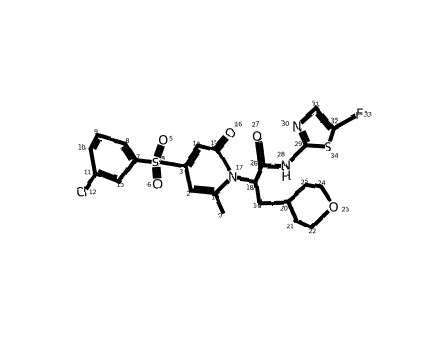 Cc1cc(S(=O)(=O)c2cccc(Cl)c2)cc(=O)n1C(CC1CCOCC1)C(=O)Nc1ncc(F)s1